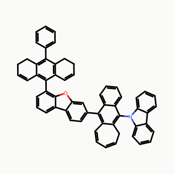 C1=CCc2c(c(-c3ccc4c(c3)oc3c(-c5c6c(c(-c7ccccc7)c7c5C=CCC7)CCC=C6)cccc34)c3ccccc3c2-n2c3ccccc3c3ccccc32)C=C1